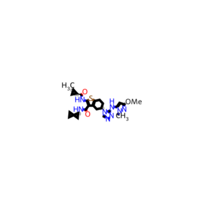 COc1cc(Nc2nncn2[C@H]2CCc3sc(NC(=O)[C@H]4C[C@@H]4C)c(C(=O)N[C@@H]4CC45CC5)c3C2)n(C)n1